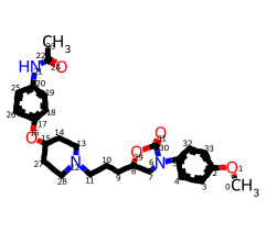 COc1ccc(N2CC(CCCN3CCC(Oc4ccc(NC(C)=O)cc4)CC3)OC2=O)cc1